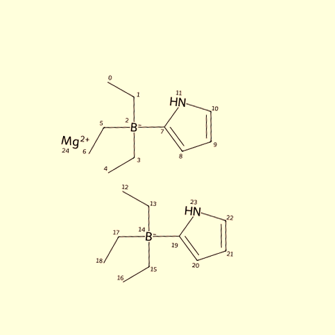 CC[B-](CC)(CC)c1ccc[nH]1.CC[B-](CC)(CC)c1ccc[nH]1.[Mg+2]